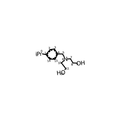 CC(C)c1ccc(CN(CCO)CCO)cc1